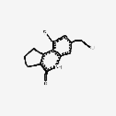 O=c1[nH]c2cc(CCl)cc(F)c2c2c1CCC2